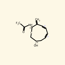 C=C1/C=C\C=C/C[C@H](O)CC[C@@H]1NC(=O)C(F)(F)F